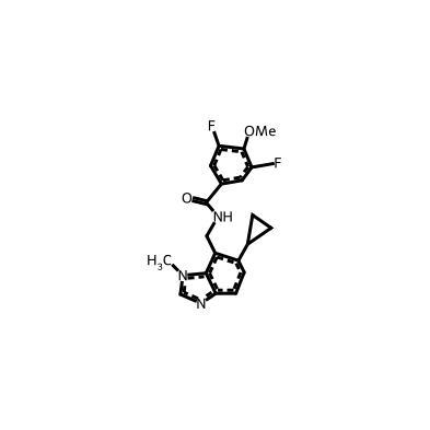 COc1c(F)cc(C(=O)NCc2c(C3CC3)ccc3ncn(C)c23)cc1F